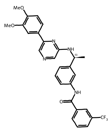 COc1ccc(-c2cncc(N[C@@H](C)c3cccc(NC(=O)c4cccc(C(F)(F)F)c4)c3)n2)cc1OC